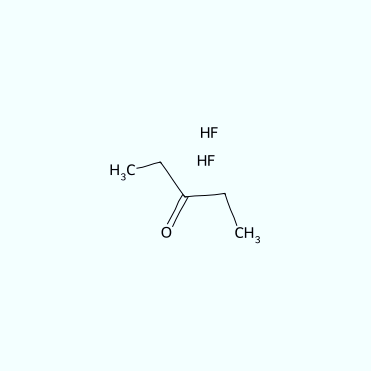 CCC(=O)CC.F.F